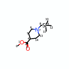 COC(=O)C1CCN(C[Si](C)(C)C)CC1